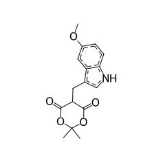 COc1ccc2[nH]cc(CC3C(=O)OC(C)(C)OC3=O)c2c1